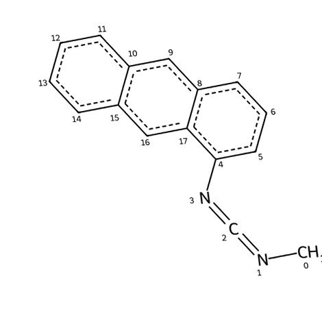 CN=C=Nc1cccc2cc3ccccc3cc12